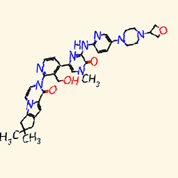 Cn1cc(-c2ccnc(-n3ccn4c5c(cc4c3=O)CC(C)(C)C5)c2CO)nc(Nc2ccc(N3CCN(C4COC4)CC3)cn2)c1=O